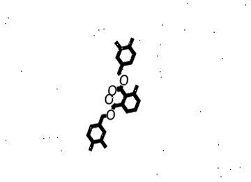 CC1CCC(COC(=O)C2CCCC(C)C2C(=O)OCC2CCC(C)C(C)C2)CC1C